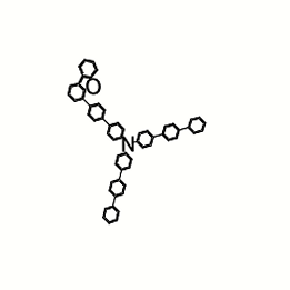 c1ccc(-c2ccc(-c3ccc(N(c4ccc(-c5ccc(-c6ccccc6)cc5)cc4)c4ccc(-c5ccc(-c6cccc7c6oc6ccccc67)cc5)cc4)cc3)cc2)cc1